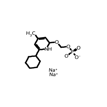 CC1=CC(OCOP(=O)([O-])[O-])NC(C2CCCCC2)=C1.[Na+].[Na+]